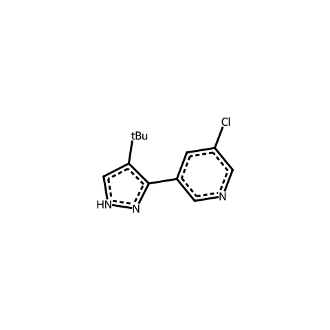 CC(C)(C)c1c[nH]nc1-c1cncc(Cl)c1